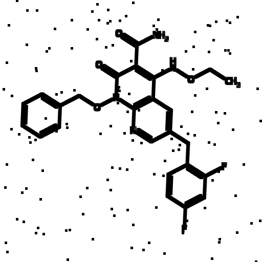 CCONc1c(C(N)=O)c(=O)n(OCc2ccccc2)c2ncc(Cc3ccc(F)cc3F)cc12